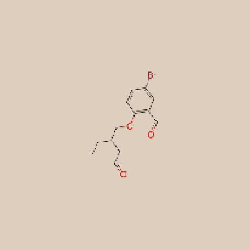 CCC(CC=O)COc1ccc(Br)cc1C=O